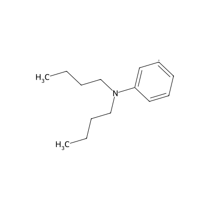 CCCCN(CCCC)c1c[c]ccc1